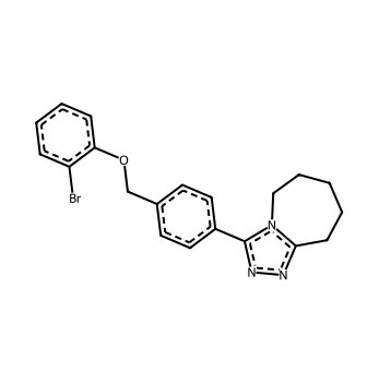 Brc1ccccc1OCc1ccc(-c2nnc3n2CCCCC3)cc1